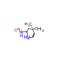 CC1(C)C=CNC(NC=O)C1